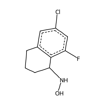 ONC1CCCc2cc(Cl)cc(F)c21